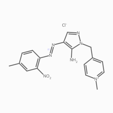 Cc1ccc(/N=N/c2cnn(Cc3cc[n+](C)cc3)c2N)c([N+](=O)[O-])c1.[Cl-]